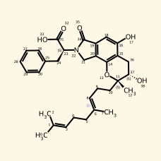 CC(C)=CCC/C(C)=C/CC[C@]1(C)Oc2c(c(O)cc3c2CN([C@@H](Cc2ccccc2)C(=O)O)C3=O)C[C@@H]1O